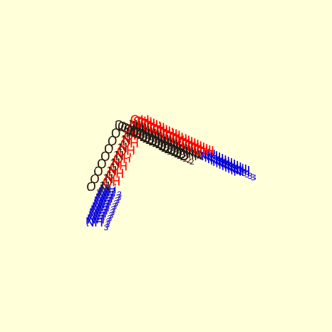 N.N.N.N.N.N.N.N.N.N.N.N.N.N.N.N.N.N.N.N.N.N.N.N.N.O=[N+]([O-])O.O=[N+]([O-])O.O=[N+]([O-])O.O=[N+]([O-])O.O=[N+]([O-])O.O=[N+]([O-])O.O=[N+]([O-])O.O=[N+]([O-])O.O=[N+]([O-])O.O=[N+]([O-])O.O=[N+]([O-])O.O=[N+]([O-])O.O=[N+]([O-])O.O=[N+]([O-])O.O=[N+]([O-])O.O=[N+]([O-])O.O=[N+]([O-])O.O=[N+]([O-])O.O=[N+]([O-])O.O=[N+]([O-])O.O=[N+]([O-])O.O=[N+]([O-])O.O=[N+]([O-])O.O=[N+]([O-])O.O=[N+]([O-])O.O=[N+]([O-])O.O=[N+]([O-])O.O=[N+]([O-])O.O=[N+]([O-])O.O=[N+]([O-])O